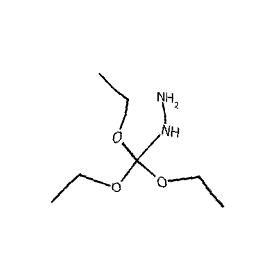 CCOC(NN)(OCC)OCC